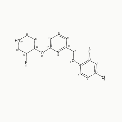 Fc1cc(Cl)ccc1OCc1cccc(OC2CCNCC2F)n1